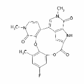 Cc1cc(F)cc2c1Oc1c(ccn(C)c1=O)-c1cn(C)c(=O)c3[nH]c(cc13)C(=O)O2